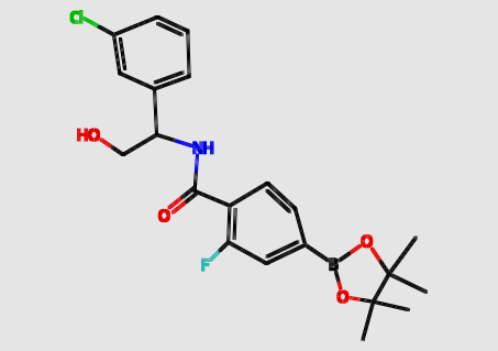 CC1(C)OB(c2ccc(C(=O)NC(CO)c3cccc(Cl)c3)c(F)c2)OC1(C)C